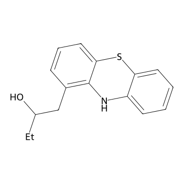 CCC(O)Cc1cccc2c1Nc1ccccc1S2